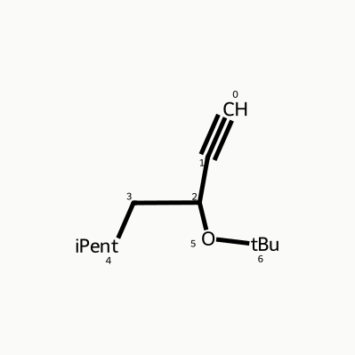 C#CC(CC(C)CCC)OC(C)(C)C